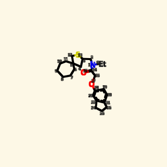 CCN(CC1CC2(CCCCCC2)CS1)C(=O)COc1ccc2c(c1)CCC2